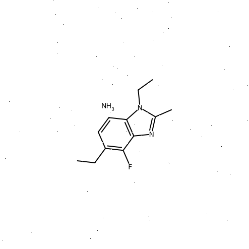 CCc1ccc2c(nc(C)n2CC)c1F.N